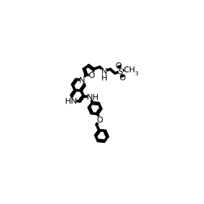 CS(=O)(=O)CCNCc1ccc(N2C=CC3=CNC=C(Nc4ccc(OCc5ccccc5)cc4)C3=C2)o1